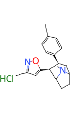 Cc1ccc([C@H]2CC3CCC([C@H]2c2cc(C)no2)N3C)cc1.Cl